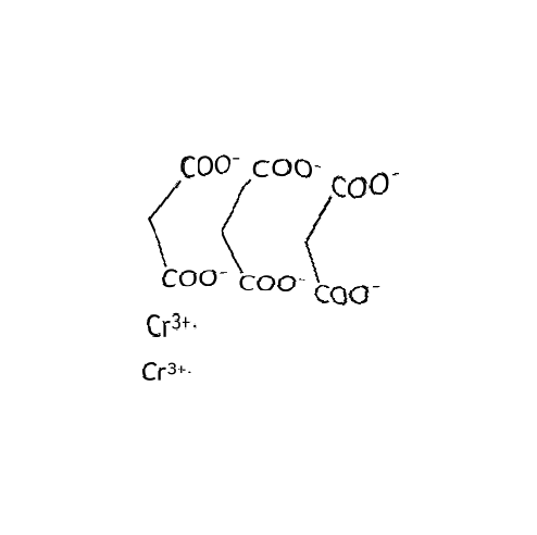 O=C([O-])CC(=O)[O-].O=C([O-])CC(=O)[O-].O=C([O-])CC(=O)[O-].[Cr+3].[Cr+3]